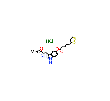 COC(=O)[C@@H](N)Cc1c[nH]c2ccc(OC(=O)CCCCC3CCSS3)cc12.Cl